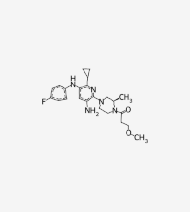 COCCC(=O)N1CCN(c2nc(C3CC3)c(Nc3ccc(F)cc3)cc2N)C[C@H]1C